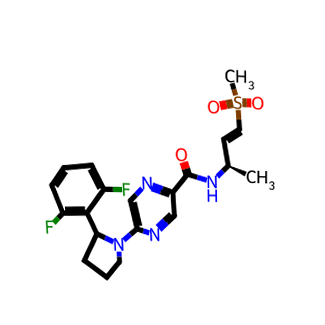 C[C@H](/C=C/S(C)(=O)=O)NC(=O)c1cnc(N2CCCC2c2c(F)cccc2F)cn1